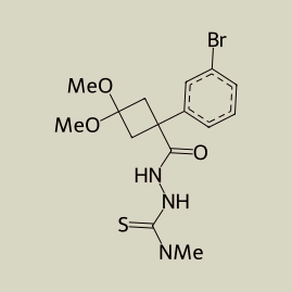 CNC(=S)NNC(=O)C1(c2cccc(Br)c2)CC(OC)(OC)C1